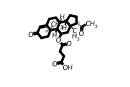 CC(=O)[C@H]1CC[C@H]2[C@@H]3CCC4=CC(=O)CC[C@]4(C)[C@H]3C(OC(=O)CCC(=O)O)C[C@]12C